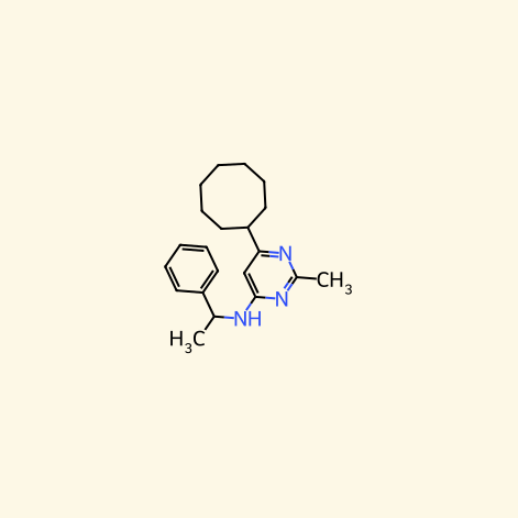 Cc1nc(NC(C)c2ccccc2)cc(C2CCCCCCC2)n1